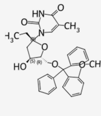 CC[C@]1(n2cc(C)c(=O)[nH]c2=O)C[C@H](O)[C@@H](COC(c2ccccc2)(c2ccccc2)c2ccccc2OC)O1